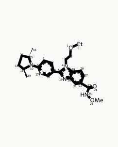 CCOCCn1c(-c2ccc(N3[C@@H](C)CC[C@@H]3C)nc2)nc2cc(C(=O)NOC)ccc21